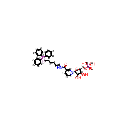 O=C(NCCCCCC[PH](c1ccccc1)(c1ccccc1)c1ccccc1)c1ccc[n+]([C@@H]2O[C@H](COP(=O)(O)O)[C@@H](O)[C@H]2O)c1